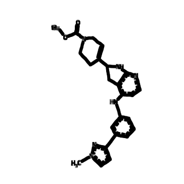 Cn1ccc(-c2cccc(Nc3ccnc4c3CC(C3=CCN(C(=O)OC(C)(C)C)CC3)N4)c2)n1